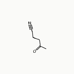 CC(=O)CCC#N